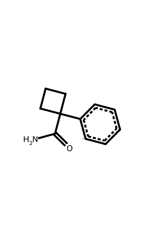 NC(=O)C1(c2[c]cccc2)CCC1